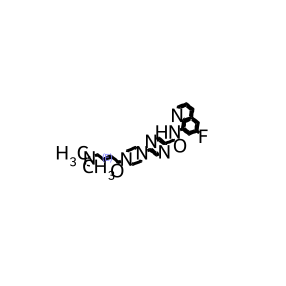 CN(C)C/C=C/C(=O)N1CCN(c2cnc(C(=O)Nc3cc(F)cc4cccnc34)cn2)CC1